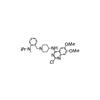 COc1cc2nc(Cl)nc(NC3CCN(Cc4ccccc4N(C)C(C)C)CC3)c2cc1OC